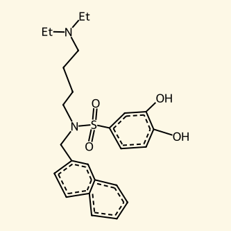 CCN(CC)CCCCN(Cc1ccc2ccccc2c1)S(=O)(=O)c1ccc(O)c(O)c1